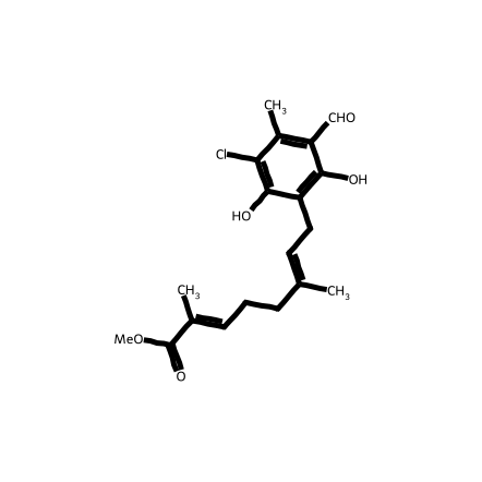 COC(=O)/C(C)=C/CC/C(C)=C/Cc1c(O)c(Cl)c(C)c(C=O)c1O